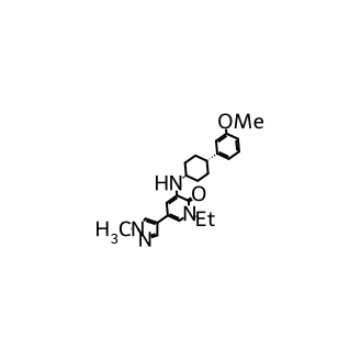 CCn1cc(-c2cnn(C)c2)cc(N[C@H]2CC[C@@H](c3cccc(OC)c3)CC2)c1=O